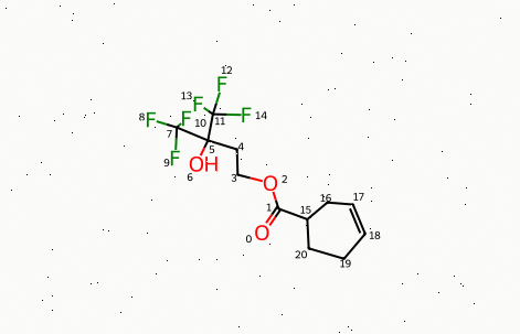 O=C(OCCC(O)(C(F)(F)F)C(F)(F)F)C1CC=CCC1